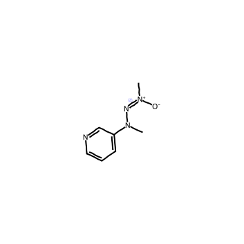 CN(/N=[N+](/C)[O-])c1cccnc1